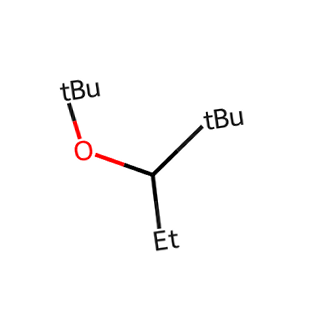 [CH2]CC(OC(C)(C)C)C(C)(C)C